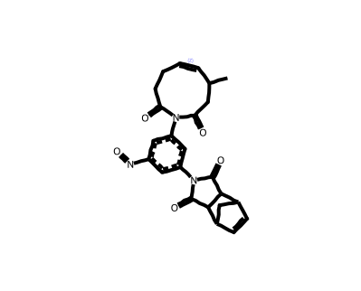 CC1/C=C\CCC(=O)N(c2cc(N=O)cc(N3C(=O)C4C5C=CC(C5)C4C3=O)c2)C(=O)C1